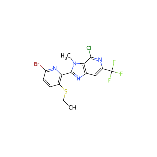 CCSc1ccc(Br)nc1-c1nc2cc(C(F)(F)F)nc(Cl)c2n1C